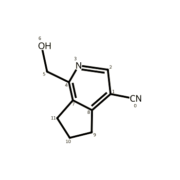 N#Cc1cnc(CO)c2c1CCC2